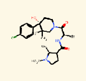 CC(C)[C@@H](NC(=O)C1CCN(C(=O)O)[C@H]1C(C)(C)C)C(=O)N1CC[C@](O)(c2ccc(Cl)cc2)C(C)(C)C1